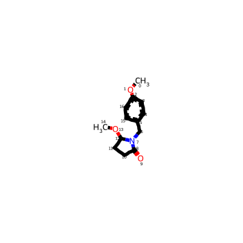 COc1ccc(CN2C(=O)CCC2OC)cc1